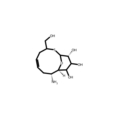 N[C@@H]1C/C=C\CC(CO)SC2O[C@H]1C(O)C(O)[C@H]2O